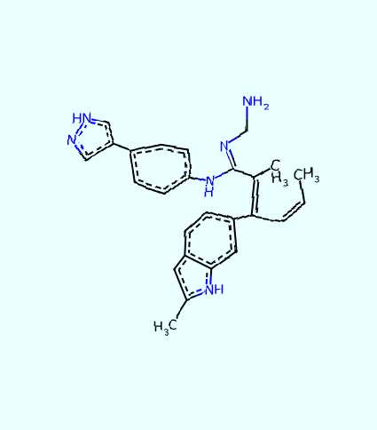 C\C=C/C(=C(C)/C(=N\CN)Nc1ccc(-c2cn[nH]c2)cc1)c1ccc2cc(C)[nH]c2c1